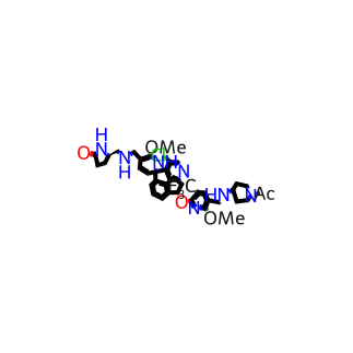 COC1=C(CNC[C@H]2CCC(=O)N2)C=CC(c2ccncc2Cl)(c2cccc3c2CC[C@H]3Oc2nc(OC)c(CNC3CCN(C(C)=O)CC3)cc2C(F)(F)F)N1